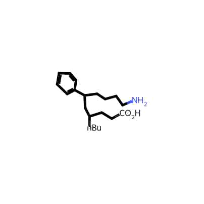 CCCCC(CCC(=O)O)CC(CCCCN)c1ccccc1